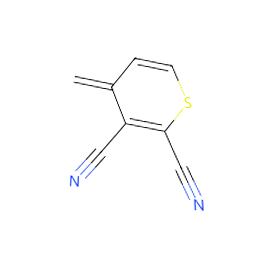 C=C1C=CSC(C#N)=C1C#N